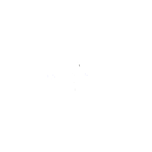 CCN1C[C@H]2[C@H](CN)[C@H]2[C@H]1C